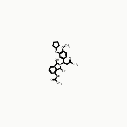 COc1ccc(C(CC(C)=O)N2C(O)c3cccc(NC(C)=O)c3C2O)cc1OC1CCCC1